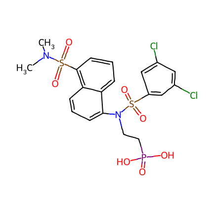 CN(C)S(=O)(=O)c1cccc2c(N(CCP(=O)(O)O)S(=O)(=O)c3cc(Cl)cc(Cl)c3)cccc12